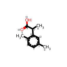 Cc1ccc(C)c(C(C)C(=O)O)c1